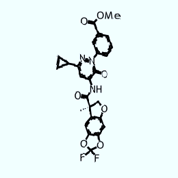 COC(=O)c1cccc(-n2nc(C3CC3)cc(NC(=O)[C@@]3(C)COc4cc5c(cc43)OC(F)(F)O5)c2=O)c1